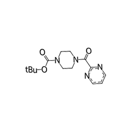 CC(C)(C)OC(=O)N1CCN(C(=O)c2ncccn2)CC1